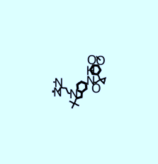 C=N/C(CCn1c(C(C)(C)C)cc2cc(NC(=O)C3(c4ccc5c(c4)OCO5)CC3)ccc21)=N\C